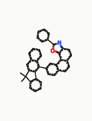 CC1(C)c2ccccc2-c2c1cc1ccccc1c2-c1ccc2ccc3ccc4nc(-c5ccccc5)oc4c3c2c1